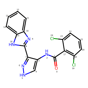 O=C(Nc1c[nH]nc1-c1nc2ccccc2[nH]1)c1c(Cl)cccc1Cl